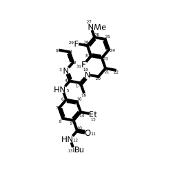 C\C=C/N=C(Nc1ccc(C(=O)NC(C)CC)c(CC)c1)\C(C)=N\CC(C)c1ccc(NC)c(F)c1F